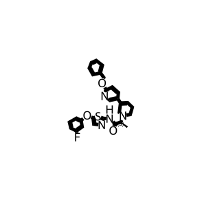 C[C@@H](C(=O)Nc1ncc(Oc2cccc(F)c2)s1)N1CCC=C(c2ccc(OCc3ccccc3)nc2)C1